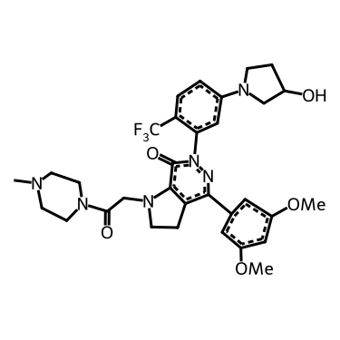 COc1cc(OC)cc(-c2nn(-c3cc(N4CCC(O)C4)ccc3C(F)(F)F)c(=O)c3c2CCN3CC(=O)N2CCN(C)CC2)c1